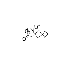 NC1(CC(=O)[O-])CC2(CCC2)C1.[Li+]